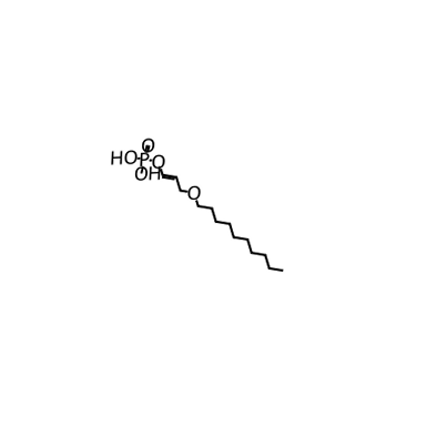 CCCCCCCCCCOCC=COP(=O)(O)O